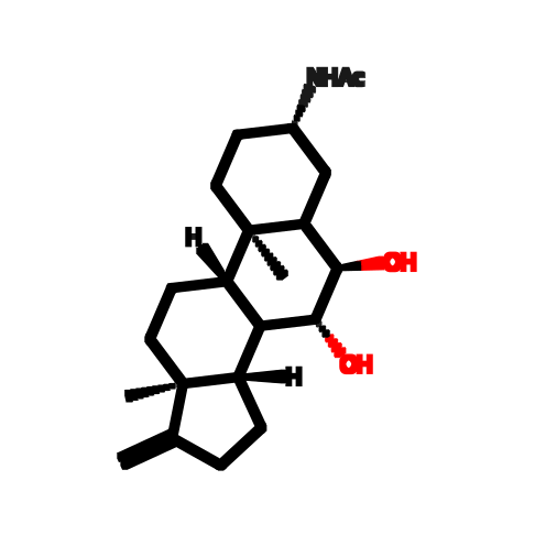 C=C1CC[C@H]2C3[C@@H](O)[C@H](O)C4C[C@@H](NC(C)=O)CC[C@]4(C)[C@H]3CC[C@]12C